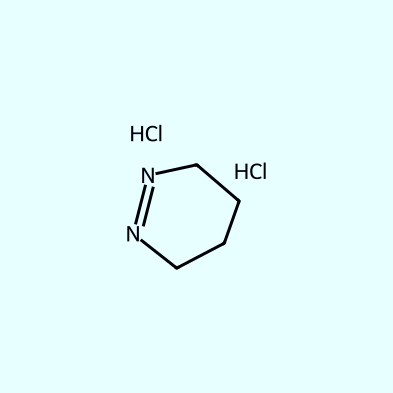 C1CCN=NC1.Cl.Cl